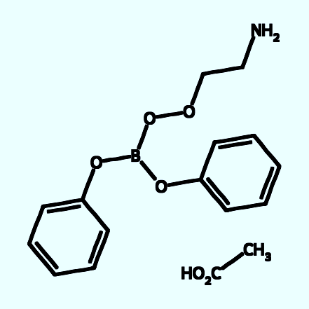 CC(=O)O.NCCOOB(Oc1ccccc1)Oc1ccccc1